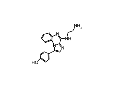 NCCNc1nc2ccccc2n2c(-c3ccc(O)cc3)cnc12